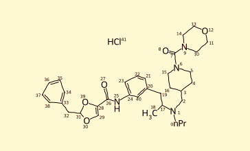 CCCN(CC1CCN(C(=O)N2CCOCC2)CC1)C(C)Cc1cccc(NC(=O)C2=COC(Cc3ccccc3)O2)c1.Cl